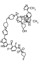 Cc1ncsc1-c1ccc([C@H](C)NC(=O)[C@@H]2C[C@@H](O)CN2C(=O)[C@@H](NC(=O)C2(N3CCN(CC4CCN(c5ccc(-c6cnc7[nH]cc(C(=O)c8c(F)ccc(NS(=O)(=O)N9CC[C@@H](F)C9)c8F)c7c6)cc5)CC4)CC3)CC2)C(C)(C)C)cc1